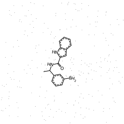 Bc1cccc(C(C)NC(=O)c2cc3ccccc3[nH]2)c1